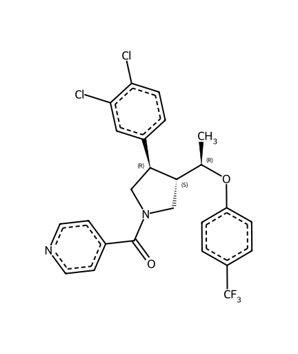 C[C@@H](Oc1ccc(C(F)(F)F)cc1)[C@@H]1CN(C(=O)c2ccncc2)C[C@H]1c1ccc(Cl)c(Cl)c1